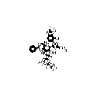 Cc1nc([C@@H]2O[C@@H]3COC(c4ccccc4)O[C@@H]3[C@H](NNC(=O)OC(C)(C)C)[C@H]2O)n(-c2ccc3nc(C)sc3c2Cl)n1